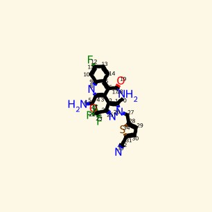 Cc1c(-c2c(C(N)=O)nc3cc(F)ccc3c2C(N)=O)c(C(F)(F)F)nn1Cc1ccc(C#N)s1